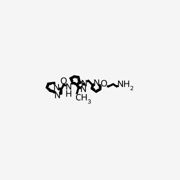 CCc1nn(Cc2cccc(OCCCN)n2)c2cccc(NC(=O)c3cnc4ccccn34)c12